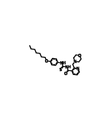 CCCCCCCOc1ccc(NC(=S)NC(=O)c2cccnc2CN2CCOCC2)cc1